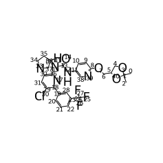 CC1(C)OCC(COc2ccc(NC(=O)N3c4nc(-c5cccc(C(F)(F)F)c5)c(Cl)cc4N4CC[C@H]3C4)cn2)O1